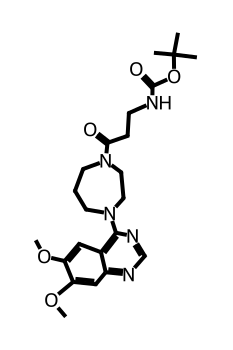 COc1cc2ncnc(N3CCCN(C(=O)CCNC(=O)OC(C)(C)C)CC3)c2cc1OC